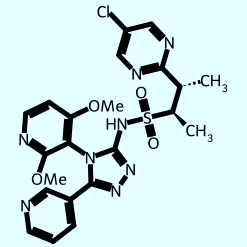 COc1ccnc(OC)c1-n1c(NS(=O)(=O)[C@H](C)[C@@H](C)c2ncc(Cl)cn2)nnc1-c1cccnc1